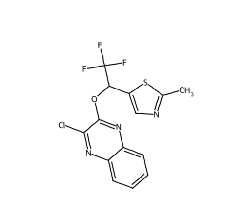 Cc1ncc(C(Oc2nc3ccccc3nc2Cl)C(F)(F)F)s1